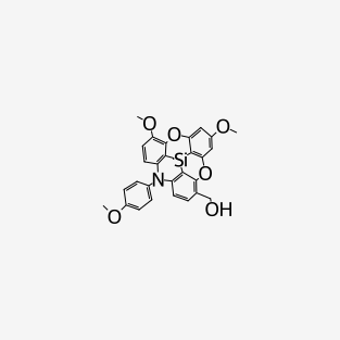 COc1ccc(N2c3ccc(CO)c4c3[Si]3(C)c5c(cc(OC)cc5Oc5c(OC)ccc2c53)O4)cc1